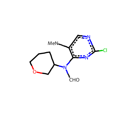 CNc1cnc(Cl)nc1N(C=O)C1CCCOC1